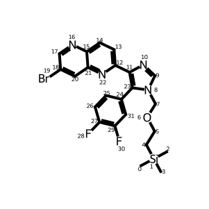 C[Si](C)(C)CCOCn1cnc(-c2ccc3ncc(Br)cc3n2)c1-c1ccc(F)c(F)c1